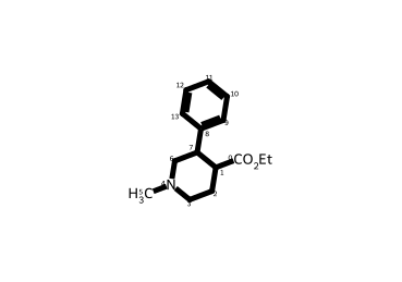 CCOC(=O)C1CCN(C)CC1c1ccccc1